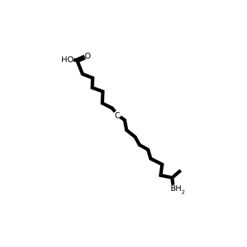 BC(C)CCCCCCCCCCCCCCCC(=O)O